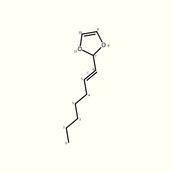 CCCCC/C=C/C1OC=CO1